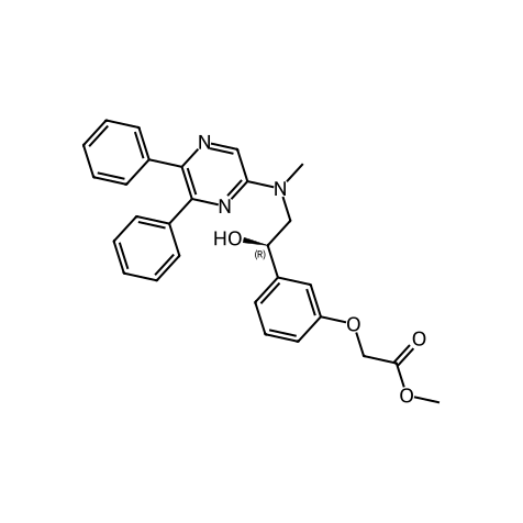 COC(=O)COc1cccc([C@@H](O)CN(C)c2cnc(-c3ccccc3)c(-c3ccccc3)n2)c1